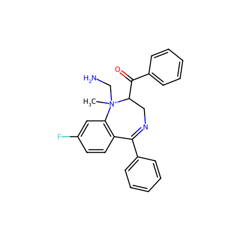 C[N+]1(CN)c2cc(F)ccc2C(c2ccccc2)=NCC1C(=O)c1ccccc1